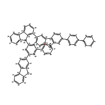 c1ccc(-c2ccc(-c3ccc4c(c3)oc3ccc(-c5cccc6c7ccccc7n(-c7nc(-c8ccccc8)nc(-c8ccc9c(c8)oc8ccccc89)n7)c56)cc34)cc2)cc1